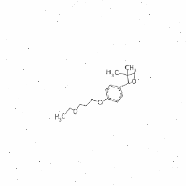 CCOCCCOc1ccc(C2OCC2(C)C)cc1